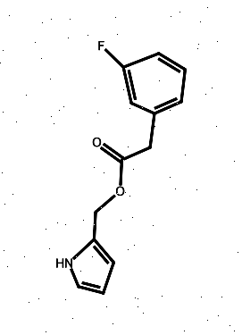 O=C(Cc1cccc(F)c1)OCc1ccc[nH]1